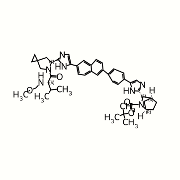 COCN[C@H](C(=O)N1CC2(CC2)C[C@H]1c1ncc(-c2ccc3cc(-c4ccc(-c5cnc([C@@H]6[C@H]7CC[C@H](C7)N6C(=O)OC(C)(C)C)[nH]5)cc4)ccc3c2)[nH]1)C(C)C